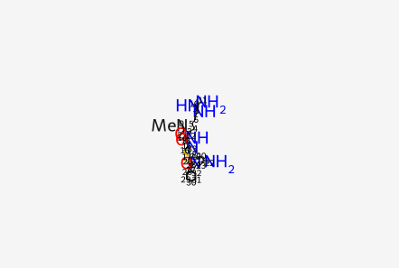 CNC(=O)C(CCCCNC(=N)N)NC(=O)c1csc([C@@H]2C[C@@H](N)CN2C(=O)c2ccccc2)n1